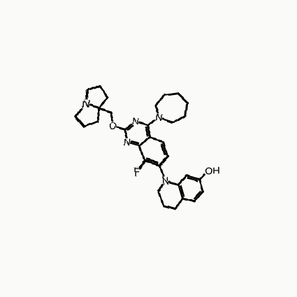 Oc1ccc2c(c1)N(c1ccc3c(N4CCCCCC4)nc(OCC45CCCN4CCC5)nc3c1F)CCC2